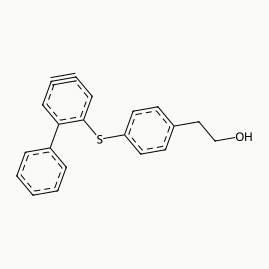 OCCc1ccc(Sc2cc#ccc2-c2ccccc2)cc1